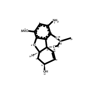 COc1cc(N)c2c3c1O[C@@H]1C[C@H](O)C=C[C@]31CCN(C)C2